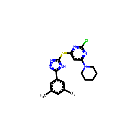 Cc1cc(-c2nnc(Sc3cc(N4CCCCC4)nc(Cl)n3)[nH]2)cc(C(F)(F)F)c1